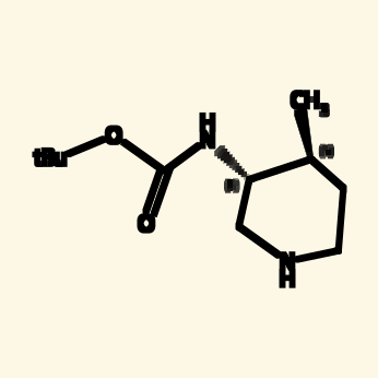 C[C@H]1CCNC[C@@H]1NC(=O)OC(C)(C)C